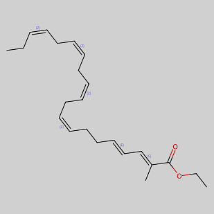 CC/C=C\C/C=C\C/C=C\C/C=C\CC/C=C/C=C(\C)C(=O)OCC